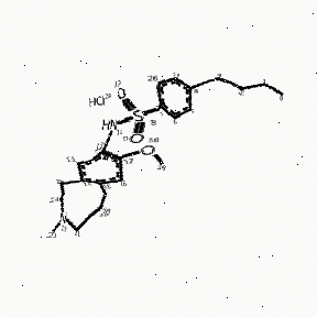 CCCCc1ccc(S(=O)(=O)Nc2cc3c(cc2OC)CCN(C)CC3)cc1.Cl